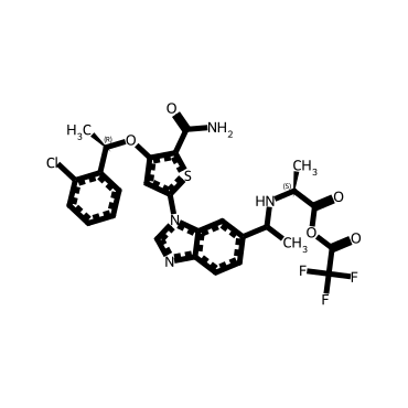 CC(N[C@@H](C)C(=O)OC(=O)C(F)(F)F)c1ccc2ncn(-c3cc(O[C@H](C)c4ccccc4Cl)c(C(N)=O)s3)c2c1